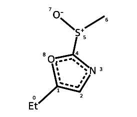 CCc1cnc([S+](C)[O-])o1